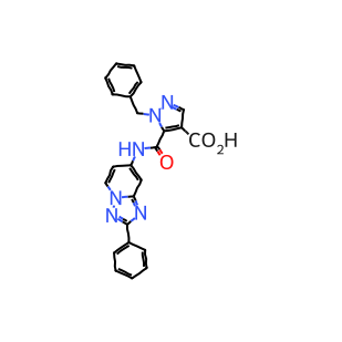 O=C(O)c1cnn(Cc2ccccc2)c1C(=O)Nc1ccn2nc(-c3ccccc3)nc2c1